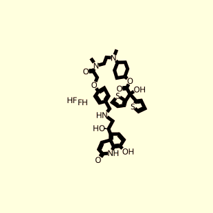 CN(CCN(C)C1CCC(OC(=O)C(O)(c2cccs2)c2cccs2)CC1)C(=O)COc1ccc(CNC[C@@H](O)c2ccc(O)c3[nH]c(=O)ccc23)cc1.F.F